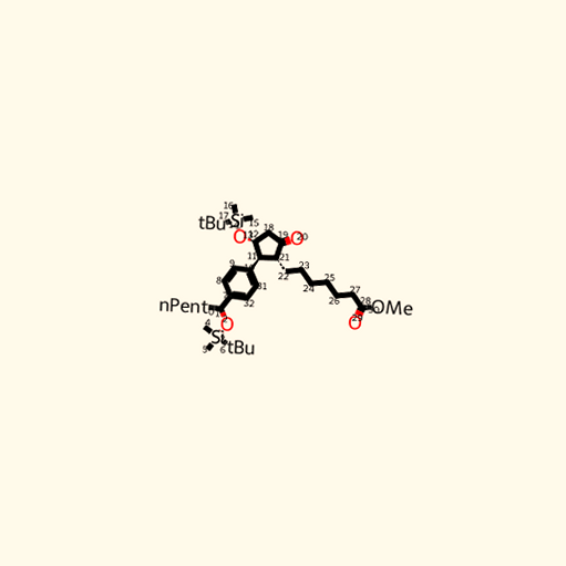 CCCCCC(O[Si](C)(C)C(C)(C)C)c1ccc([C@H]2[C@H](O[Si](C)(C)C(C)(C)C)CC(=O)[C@@H]2CCCCCCC(=O)OC)cc1